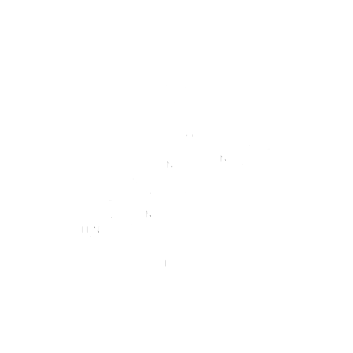 NC(=O)C1CC(F)CN1C(=O)c1ccc(N2CC(F)(F)C2)c(OCC2CC2)n1